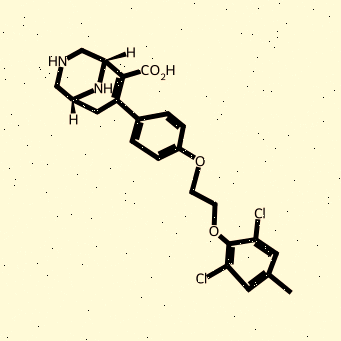 Cc1cc(Cl)c(OCCOc2ccc(C3=C(C(=O)O)[C@H]4CNC[C@@H](C3)N4)cc2)c(Cl)c1